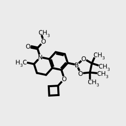 COC(=O)N1c2ccc(B3OC(C)(C)C(C)(C)O3)c(OC3CCC3)c2CCC1C